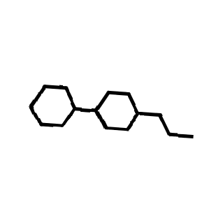 CCCC1CCC(C2CCCCC2)CC1